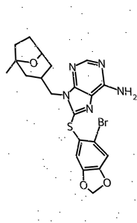 CC12CCC(CC(Cn3c(Sc4cc5c(cc4Br)OCO5)nc4c(N)ncnc43)C1)O2